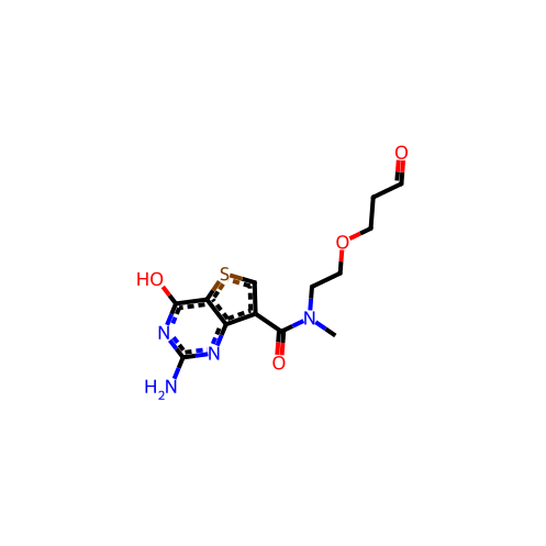 CN(CCOCCC=O)C(=O)c1csc2c(O)nc(N)nc12